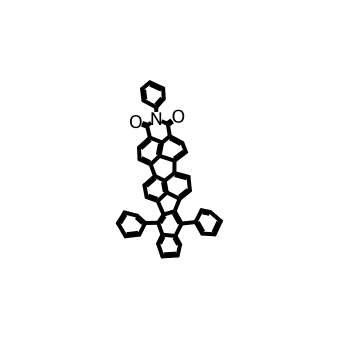 O=C1c2ccc3c4ccc5c6c(ccc(c7ccc(c2c37)C(=O)N1c1ccccc1)c64)-c1c-5c(-c2ccccc2)c2ccccc2c1-c1ccccc1